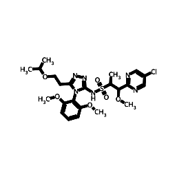 COc1cccc(OC)c1-n1c(CCOC(C)C)nnc1NS(=O)(=O)C(C)C(OC)c1ncc(Cl)cn1